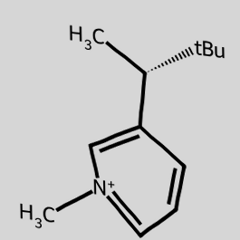 C[C@@H](c1ccc[n+](C)c1)C(C)(C)C